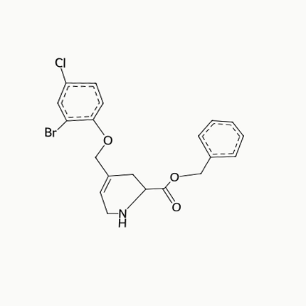 O=C(OCc1ccccc1)C1CC(COc2ccc(Cl)cc2Br)=CCN1